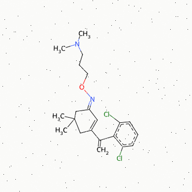 C=C(C1=C/C(=N/OCCCN(C)C)CC(C)(C)C1)c1c(Cl)cccc1Cl